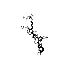 CNC(=O)C(CCCCNC(=N)N)NC(=O)c1csc(C2CC(O)CN2C(=O)c2cn3cc(Cl)ccc3n2)n1